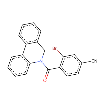 N#Cc1ccc(C(=O)N2Cc3ccccc3-c3ccccc32)c(Br)c1